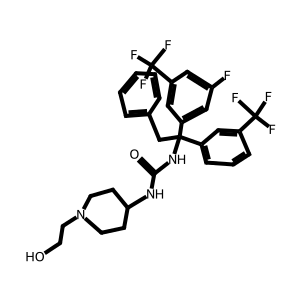 O=C(NC1CCN(CCO)CC1)NC(Cc1ccccc1)(c1cccc(C(F)(F)F)c1)c1cc(F)cc(C(F)(F)F)c1